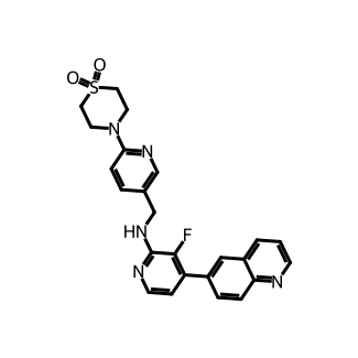 O=S1(=O)CCN(c2ccc(CNc3nccc(-c4ccc5ncccc5c4)c3F)cn2)CC1